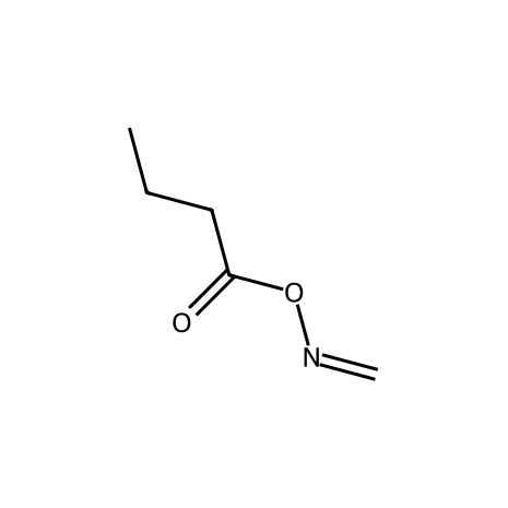 C=NOC(=O)CCC